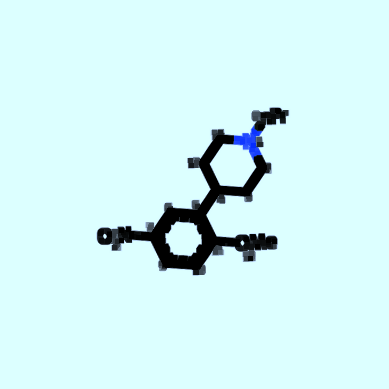 CCCN1CCC(c2cc([N+](=O)[O-])ccc2OC)CC1